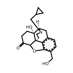 O=C1CC[C@@]2(O)[C@H]3Cc4ccc(CO)c5c4[C@@]2(CCN3CC2CC2)C1O5